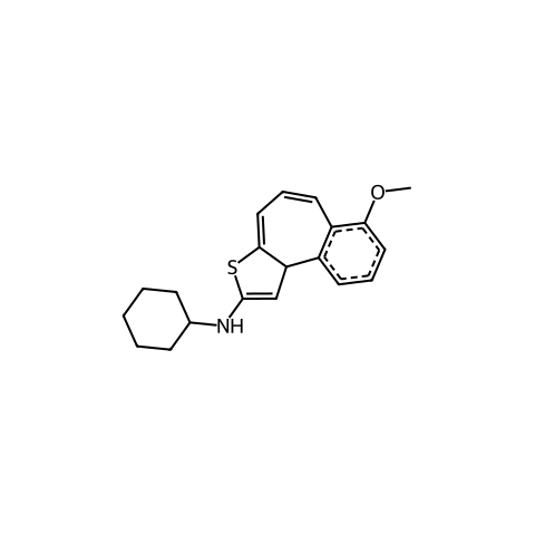 COc1cccc2c1C=CC=C1SC(NC3CCCCC3)=CC12